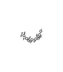 Cc1ccc(-c2cc(F)c(C(F)(F)Oc3ccc(-c4cc(F)c(C(F)(F)Oc5ccc(-c6cc(F)c(F)c(F)c6)c(F)c5)c(F)c4C)c(F)c3)c(F)c2)cc1